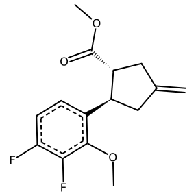 C=C1C[C@@H](C(=O)OC)[C@H](c2ccc(F)c(F)c2OC)C1